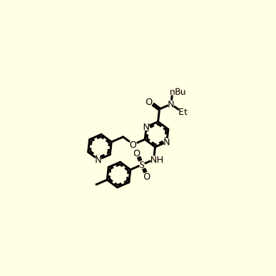 CCCCN(CC)C(=O)c1cnc(NS(=O)(=O)c2ccc(C)cc2)c(OCc2cccnc2)n1